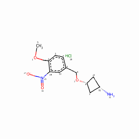 COc1ccc(CO[C@H]2C[C@@H](N)C2)cc1[N+](=O)[O-].Cl